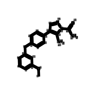 COc1cccc(Cc2ccc(-c3cnn(C(N)=O)c3N)cc2)c1